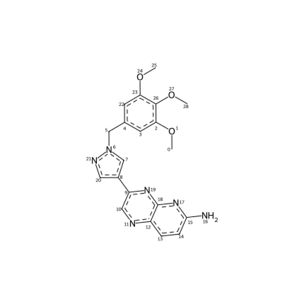 COc1cc(Cn2cc(-c3cnc4ccc(N)nc4n3)cn2)cc(OC)c1OC